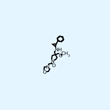 COCC1(CNC2CC2c2ccccc2)CCN(C(=O)CN2CCOCC2)CC1